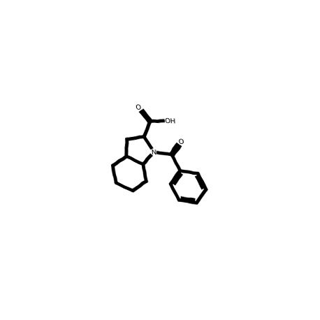 O=C(O)C1CC2CCCCC2N1C(=O)c1ccccc1